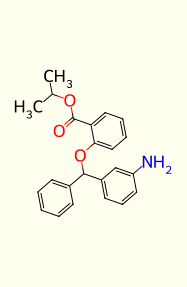 CC(C)OC(=O)c1ccccc1OC(c1ccccc1)c1cccc(N)c1